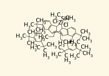 CCCC1=Cc2c(ccc(C(C)(C)C)c2-c2cc(C(C)(C)C)cc(C(C)(C)C)c2)[CH]1[Zr]([Cl])([Cl])([CH]1C(CCC)=Cc2c1ccc(C(C)(C)C)c2-c1cc(C(C)(C)C)cc(C(C)(C)C)c1)[SiH](C)C